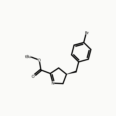 CC(C)(C)OC(=O)C1=NC[C@H](Cc2ccc(Br)cc2)C1